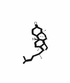 CC(C)=CC[C@@H](C)[C@H]1CCC2=C3CC[C@]4(C)CC(=O)CC[C@]4(C)[C@H]3CC[C@@]21C